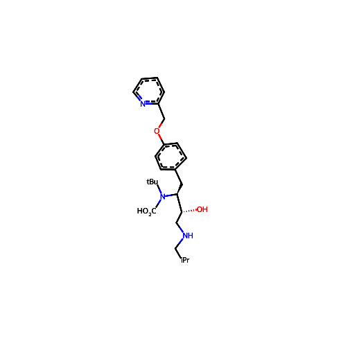 CC(C)CNC[C@@H](O)[C@H](Cc1ccc(OCc2ccccn2)cc1)N(C(=O)O)C(C)(C)C